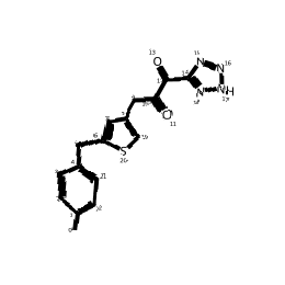 Cc1ccc(Cc2cc(CC(=O)C(=O)c3nn[nH]n3)cs2)cc1